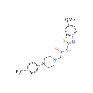 COc1ccc2nc(NC(=O)CN3CCN(c4ccc(C(F)(F)F)cc4)CC3)sc2c1